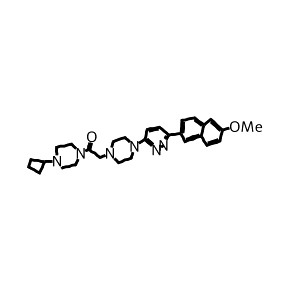 COc1ccc2cc(-c3ccc(N4CCN(CC(=O)N5CCN(C6CCC6)CC5)CC4)nn3)ccc2c1